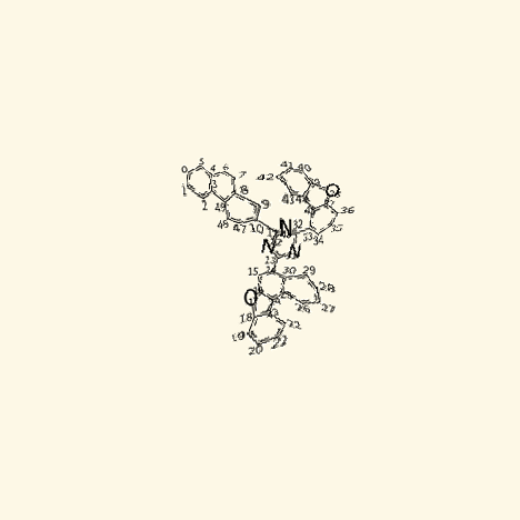 c1ccc2c(c1)ccc1cc(-c3nc(-c4cc5oc6ccccc6c5c5ccccc45)nc(-c4cccc5oc6ccccc6c45)n3)ccc12